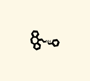 C1=Cc2ccccc2C(=CCNCc2ccccc2)c2ccccc21